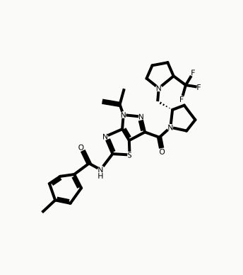 C=C(C)n1nc(C(=O)N2CCC[C@H]2CN2CCCC2C(F)(F)F)c2sc(NC(=O)c3ccc(C)cc3)nc21